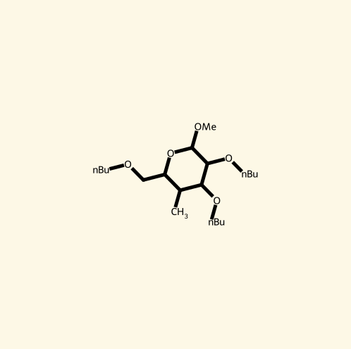 CCCCOCC1OC(OC)C(OCCCC)C(OCCCC)C1C